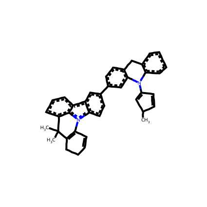 CC1C=CC(N2c3ccccc3Cc3ccc(-c4ccc5c(c4)c4cccc6c4n5C4=C(CCC=C4)C6(C)C)cc32)=C1